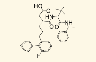 C[C@@H](NC(=O)[C@@H](NC(=O)[C@H](CCCc1cccc(F)c1-c1ccccc1)CC(=O)O)C(C)(C)C)c1ccccc1